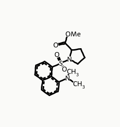 COC(=O)C1CCCN1S(=O)(=O)c1cccc2cccc(N(C)C)c12